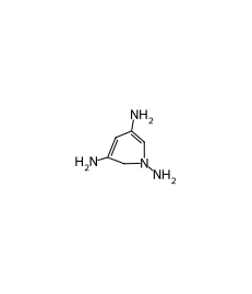 NC1=CN(N)CC(N)=C1